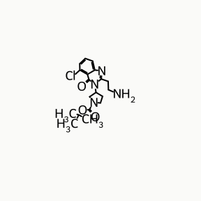 CC(C)(C)OC(=O)N1CCC(n2c(CCN)nc3cccc(Cl)c3c2=O)C1